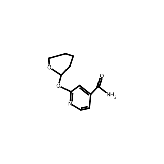 NC(=O)c1ccnc(OC2CCCCO2)c1